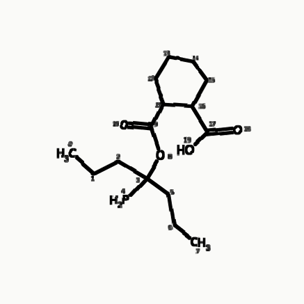 CCCC(P)(CCC)OC(=O)C1CCCCC1C(=O)O